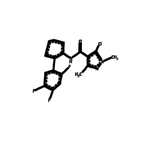 Cc1nn(C)c(Cl)c1C(=O)Nc1ccccc1-c1cc(F)c(F)cc1F